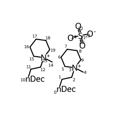 CCCCCCCCCCCC[N+]1(C)CCCCC1.CCCCCCCCCCCC[N+]1(C)CCCCC1.O=S(=O)([O-])[O-]